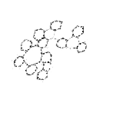 c1ccc(-c2ccccc2N(c2ccc3c(c2)-c2ccccc2-c2ccccc2O3)c2ccc3c4ccccc4c4ccccc4c4ccccc4c4c(ccc5sc6ccccc6c54)c3c2)cc1